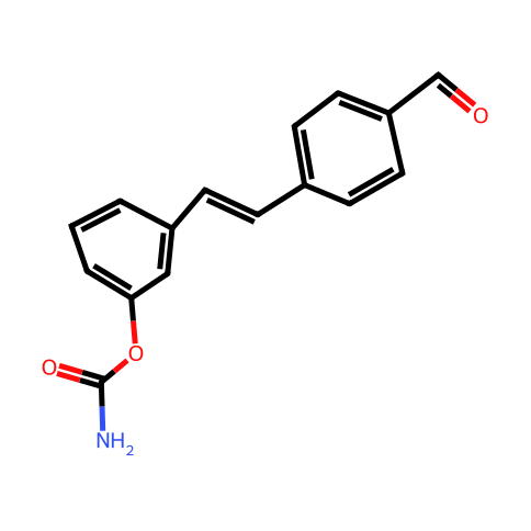 NC(=O)Oc1cccc(C=Cc2ccc(C=O)cc2)c1